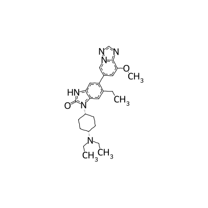 CCc1cc2c(cc1-c1cc(OC)c3ncnn3c1)[nH]c(=O)n2[C@H]1CC[C@@H](N(CC)CC)CC1